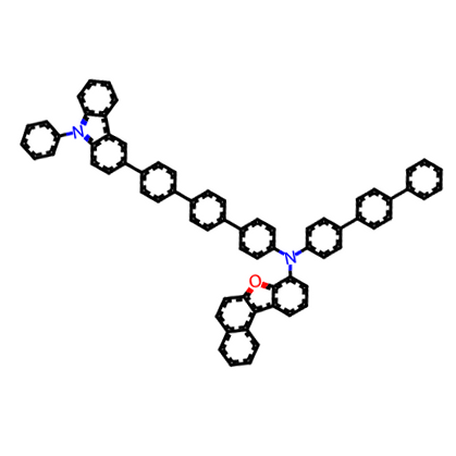 c1ccc(-c2ccc(-c3ccc(N(c4ccc(-c5ccc(-c6ccc(-c7ccc8c(c7)c7ccccc7n8-c7ccccc7)cc6)cc5)cc4)c4cccc5c4oc4ccc6ccccc6c45)cc3)cc2)cc1